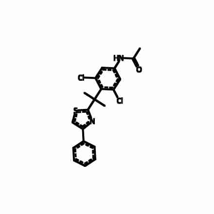 CC(=O)Nc1cc(Cl)c(C(C)(C)c2nc(-c3ccccc3)cs2)c(Cl)c1